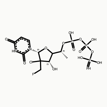 C[C@@H](OP(=O)(O)OP(=O)(O)OP(O)(O)=P)C1O[C@@H](n2ccc(=O)[nH]c2=O)C(Cl)(CF)[C@H]1O